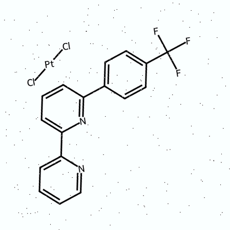 FC(F)(F)c1ccc(-c2cccc(-c3ccccn3)n2)cc1.[Cl][Pt][Cl]